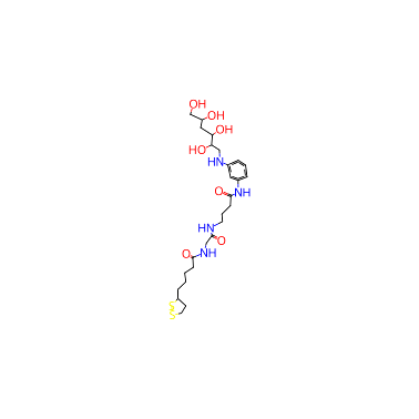 O=C(CCCCC1CCSS1)NCC(=O)NCCCC(=O)Nc1cccc(NCC(O)C(O)CC(O)CO)c1